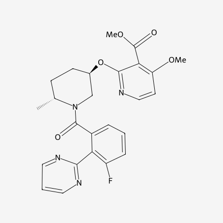 COC(=O)c1c(OC)ccnc1O[C@@H]1CC[C@@H](C)N(C(=O)c2cccc(F)c2-c2ncccn2)C1